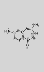 NC1=Cc2cc(N)ccc2C(=O)NN1